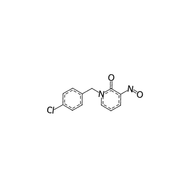 O=Nc1cccn(Cc2ccc(Cl)cc2)c1=O